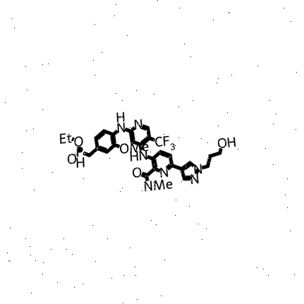 CCO[PH](=O)Cc1ccc(Nc2cc(Nc3ccc(-c4cnn(CCCO)c4)nc3C(=O)NC)c(C(F)(F)F)cn2)c(OC)c1